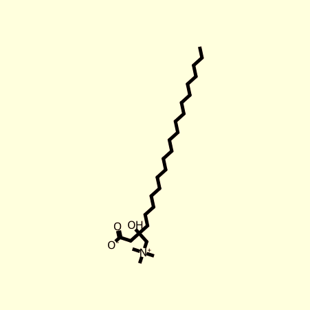 CCCCCCCCCCCCCCCCCCCCC(O)(CC(=O)[O-])C[N+](C)(C)C